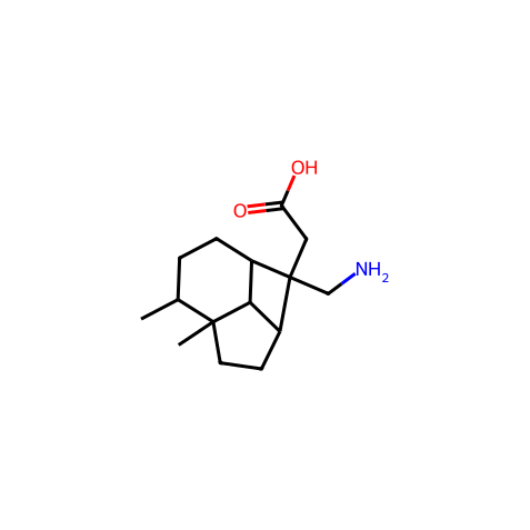 CC1CCC2C3C(CCC13C)C2(CN)CC(=O)O